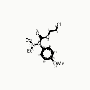 CCN(CC)N(C(=O)OCCCl)c1ccc(OC)cc1